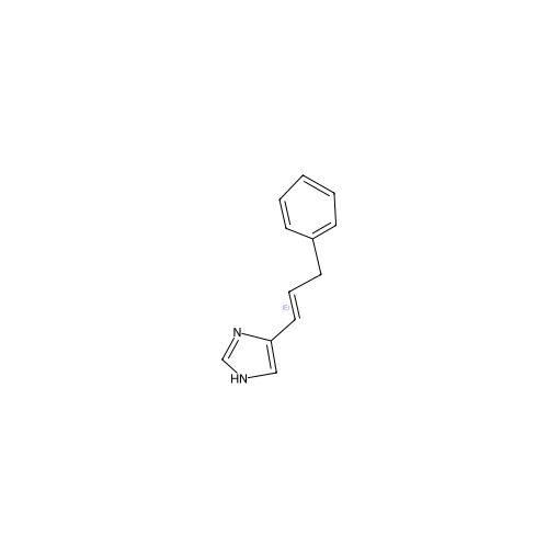 C(=C\c1c[nH]cn1)/Cc1ccccc1